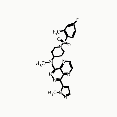 CN(c1nnc(-c2ccnn2C)c2nccnc12)C1CCN(S(=O)(=O)c2ccc(F)cc2C(F)(F)F)CC1